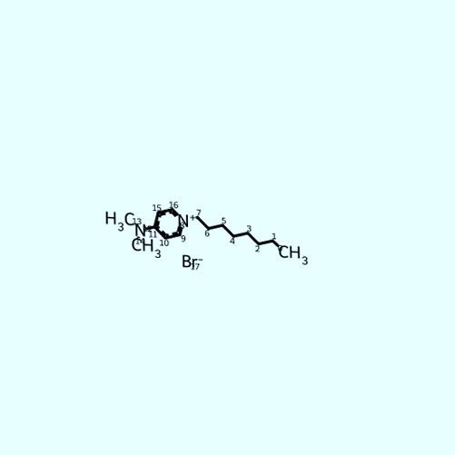 CCCCCCCC[n+]1ccc(N(C)C)cc1.[Br-]